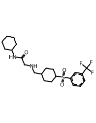 O=C(CNCC1CCC(S(=O)(=O)c2cccc(C(F)(F)F)c2)CC1)NC1CCCCC1